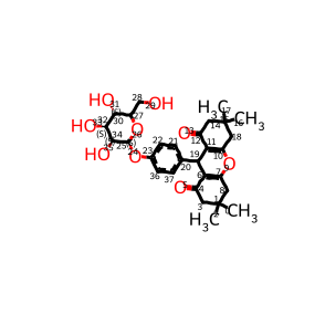 CC1(C)CC(=O)C2=C(C1)OC1=C(C(=O)CC(C)(C)C1)C2c1ccc(O[C@@H]2OC(CO)[C@@H](O)[C@H](O)[C@@H]2O)cc1